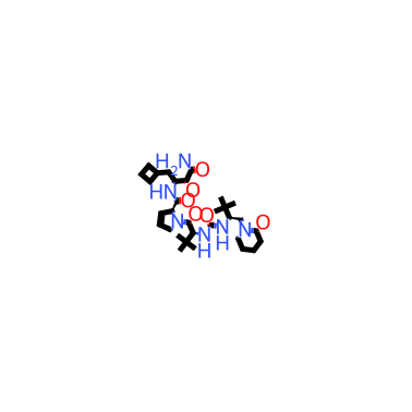 CC(C)(C)[C@H](NC(=O)N[C@H](CN1CCCCC1=O)C(C)(C)C)C(=O)N1CC=C[C@H]1C(=O)NC(CC1CCC1)C(=O)C(N)=O